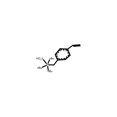 C=Cc1ccc(CP(CCCC)(CCCC)(CCCC)S(=O)(=O)O)cc1